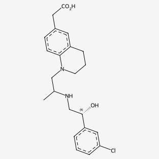 CC(CN1CCCc2cc(CC(=O)O)ccc21)NC[C@H](O)c1cccc(Cl)c1